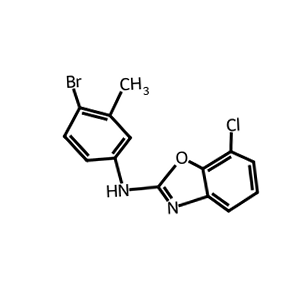 Cc1cc(Nc2nc3cccc(Cl)c3o2)ccc1Br